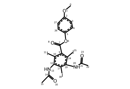 COc1ccc(OC(=O)c2c(I)c(NC(C)=O)c(I)c(NC(C)=O)c2I)cc1